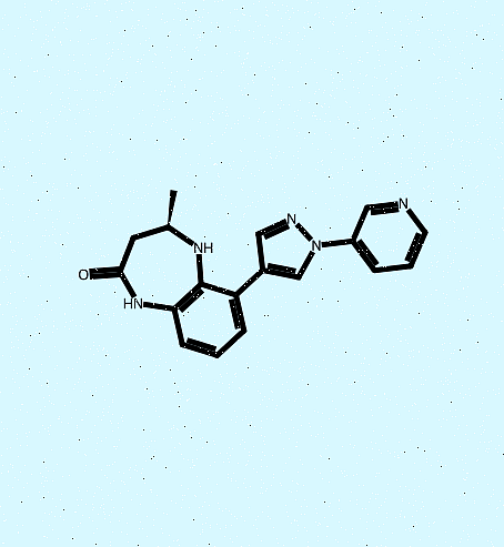 C[C@@H]1CC(=O)Nc2cccc(-c3cnn(-c4cccnc4)c3)c2N1